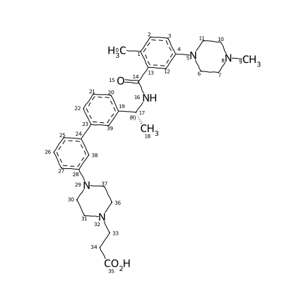 Cc1ccc(N2CCN(C)CC2)cc1C(=O)N[C@H](C)c1cccc(-c2cccc(N3CCN(CCC(=O)O)CC3)c2)c1